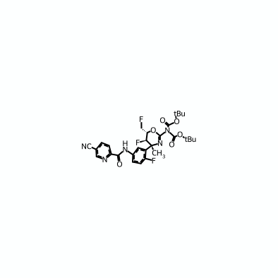 CC(C)(C)OC(=O)N(C(=O)OC(C)(C)C)C1=N[C@](C)(c2cc(NC(=O)c3ccc(C#N)cn3)ccc2F)[C@@H](F)[C@H](CF)O1